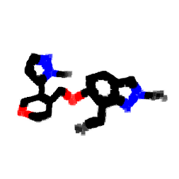 C=Cc1c(OCC2=C(c3ccnn3C(C)C)COCC2)ccc2cn(C)nc12